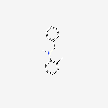 Cc1ccc[c]c1N(C)Cc1ccccc1